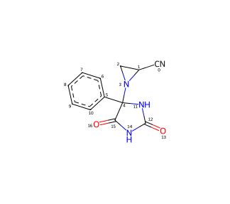 N#CC1CN1C1(c2ccccc2)NC(=O)NC1=O